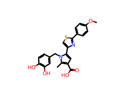 COc1ccc(-c2nc(-c3cc(C(=O)O)c(C)n3Cc3ccc(O)c(O)c3)cs2)cc1